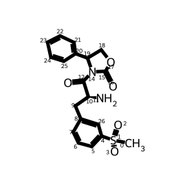 CS(=O)(=O)c1cccc(C[C@H](N)C(=O)N2C(=O)OCC2c2ccccc2)c1